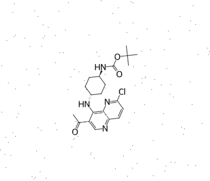 CC(=O)c1cnc2ccc(Cl)nc2c1N[C@H]1CC[C@H](NC(=O)OC(C)(C)C)CC1